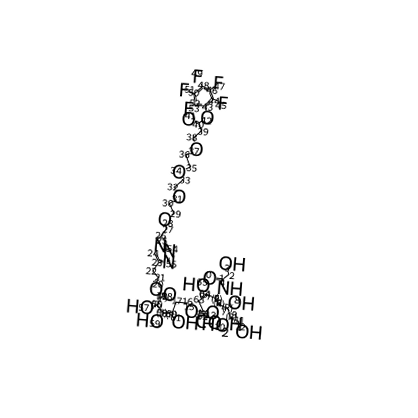 O=C(CO)N[C@H]1[C@H]([C@H](O)[C@H](O)CO)O[C@](OCC2O[C@@H](OCCc3cn(CCOCCOCCOCCOCCC(=O)Oc4c(F)c(F)c(F)c(F)c4F)nn3)[C@H](O)[C@@H](O)[C@H]2O)(C(=O)O)C[C@@H]1O